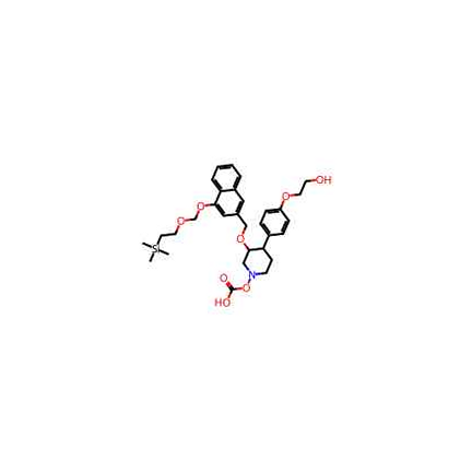 C[Si](C)(C)CCOCOc1cc(COC2CN(OC(=O)O)CCC2c2ccc(OCCO)cc2)cc2ccccc12